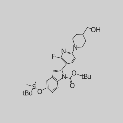 CC(C)(C)OC(=O)n1c(-c2ccc(N3CCC(CO)CC3)nc2F)cc2cc(O[Si](C)(C)C(C)(C)C)ccc21